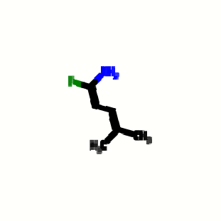 CC(C)=C/C=C(\N)F